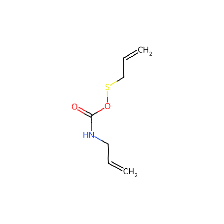 C=CCNC(=O)OSCC=C